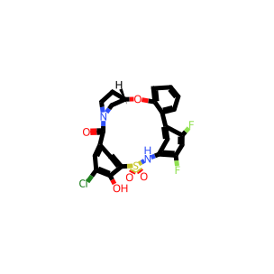 O=C1c2cc(Cl)c(O)c(c2)S(=O)(=O)Nc2cc(c(F)cc2F)-c2ccccc2O[C@H]2CCN1C2